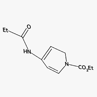 [CH2]CC(=O)NC1=CCN(C(=O)OCC)C=C1